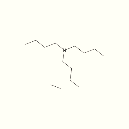 CCCCN(CCCC)CCCC.CI